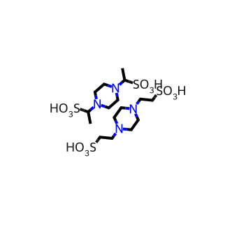 CC(N1CCN(C(C)S(=O)(=O)O)CC1)S(=O)(=O)O.O=S(=O)(O)CCN1CCN(CCS(=O)(=O)O)CC1